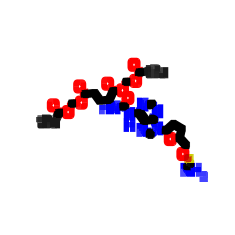 CC(C)(C)C(=O)OCOC(=O)CCC(NC(=O)Nc1ncnc2c1ncn2C1CCC(COSN)O1)C(=O)OCOC(=O)C(C)(C)C